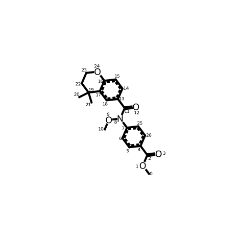 COC(=O)c1ccc(N(OC)C(=O)c2ccc3c(c2)C(C)(C)CCO3)cc1